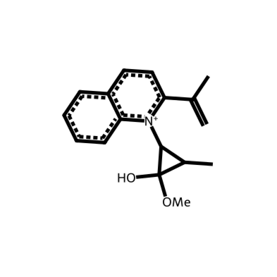 C=C(C)c1ccc2ccccc2[n+]1C1C(C)C1(O)OC